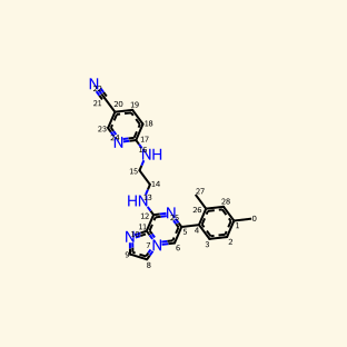 Cc1ccc(-c2cn3ccnc3c(NCCNc3ccc(C#N)cn3)n2)c(C)c1